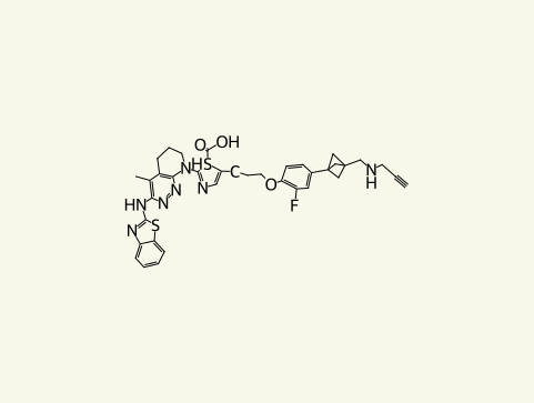 C#CCNCC12CC(c3ccc(OCCCC4=CN=C(N5CCCc6c5nnc(Nc5nc7ccccc7s5)c6C)[SH]4C(=O)O)c(F)c3)(C1)C2